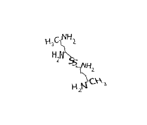 CC(N)CCC(N)CSSCC(N)CCC(C)N